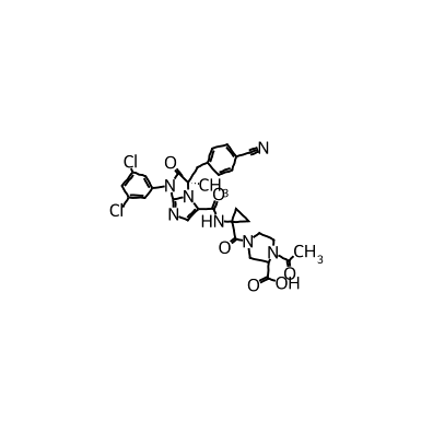 CC(=O)N1CCN(C(=O)C2(NC(=O)c3cnc4n3[C@](C)(Cc3ccc(C#N)cc3)C(=O)N4c3cc(Cl)cc(Cl)c3)CC2)CC1C(=O)O